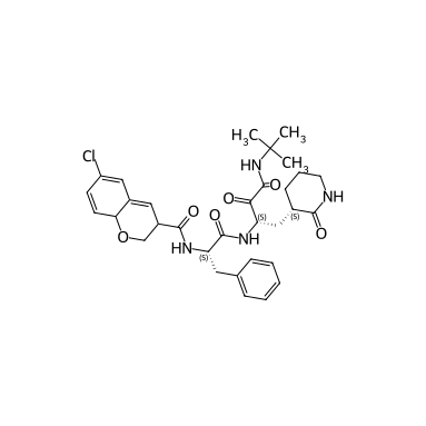 CC(C)(C)NC(=O)C(=O)[C@H](C[C@@H]1CCCNC1=O)NC(=O)[C@H](Cc1ccccc1)NC(=O)C1C=C2C=C(Cl)C=CC2OC1